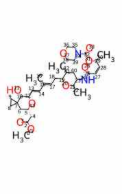 COC(=O)C[C@@H]1CC2(CC2)[C@H](O)[C@@H](/C=C/C(C)=C/C[C@@H]2O[C@H](C)[C@H](NC(=O)/C=C\[C@H](C)OC(=O)N3CCOCC3)C[C@@H]2C)O1